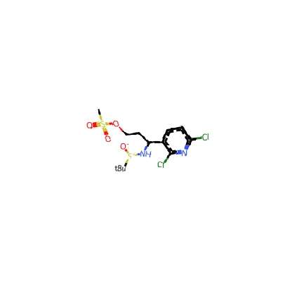 CC(C)(C)[S+]([O-])NC(CCOS(C)(=O)=O)c1ccc(Cl)nc1Cl